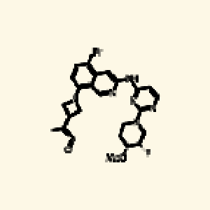 CO[C@@H]1CCN(c2nccc(Nc3cc4c(C(C)C)ccc(N5CC(C(C)=S=O)C5)c4cn3)n2)C[C@@H]1F